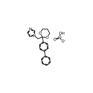 O=[N+]([O-])O.c1ccc(-c2ccc(C3(Cn4ccnc4)OCCCO3)cc2)cc1